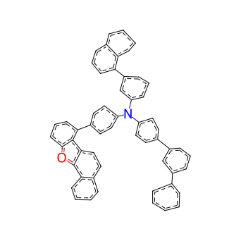 c1ccc(-c2cccc(-c3ccc(N(c4ccc(-c5cccc6oc7c8ccccc8ccc7c56)cc4)c4cccc(-c5cccc6ccccc56)c4)cc3)c2)cc1